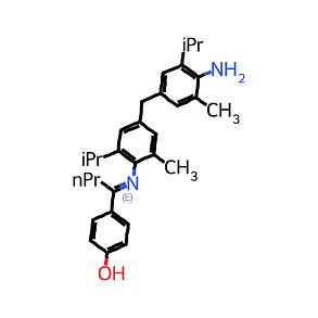 CCC/C(=N\c1c(C)cc(Cc2cc(C)c(N)c(C(C)C)c2)cc1C(C)C)c1ccc(O)cc1